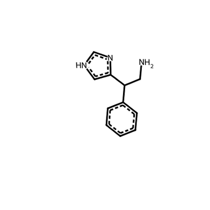 NCC(c1ccccc1)c1c[nH]cn1